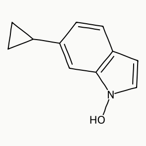 On1ccc2ccc(C3CC3)cc21